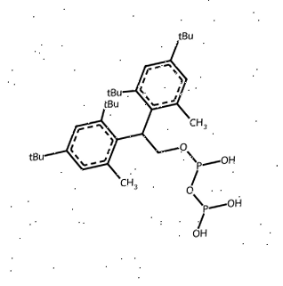 Cc1cc(C(C)(C)C)cc(C(C)(C)C)c1C(COP(O)OP(O)O)c1c(C)cc(C(C)(C)C)cc1C(C)(C)C